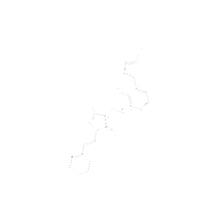 CC1=NN(/C(C)=C/C2=C(C)CCCC2)C(=O)C1NNc1cccc(-c2ccc(C(=O)O)o2)c1O